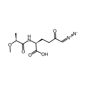 CO[C@@H](C)C(=O)N[C@@H](CCC(=O)C=[N+]=[N-])C(=O)O